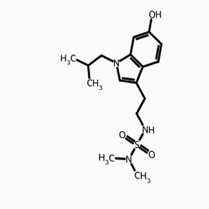 CC(C)Cn1cc(CCNS(=O)(=O)N(C)C)c2ccc(O)cc21